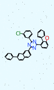 Clc1cccc(-c2nc(-c3ccc4ccc(-c5ccccc5)cc4c3)nc(-c3cccc4oc5ccccc5c34)n2)c1